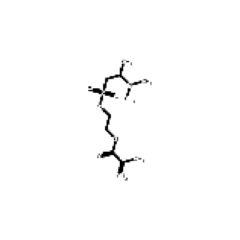 C=C(C)C(=O)OCCOS(=O)(=O)CC(C)N(C)C